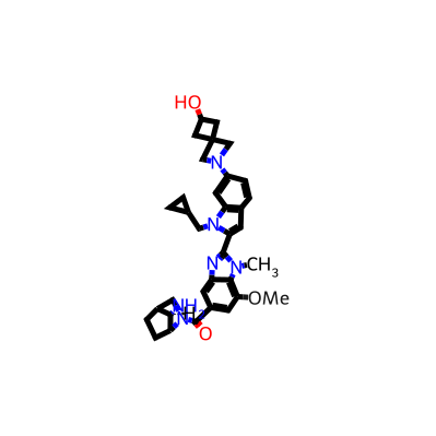 COc1cc(C(=O)N2CC3CCC2[C@@H]3N)cc2nc(-c3cc4ccc(N5CC6(CC(O)C6)C5)cc4n3CC3CC3)n(C)c12